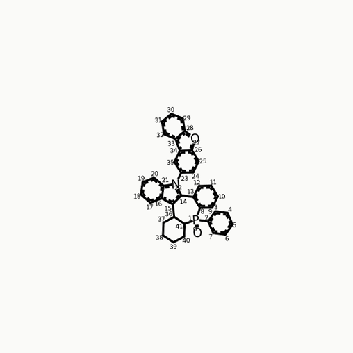 O=P1(c2ccccc2)c2ccccc2-c2c(c3ccccc3n2-c2ccc3oc4ccccc4c3c2)C2CCCCC21